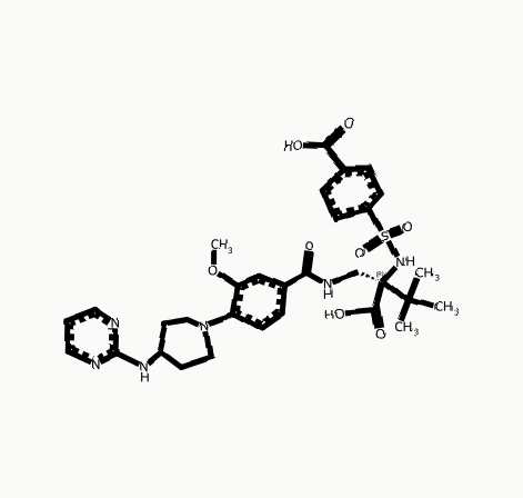 COc1cc(C(=O)NC[C@@](NS(=O)(=O)c2ccc(C(=O)O)cc2)(C(=O)O)C(C)(C)C)ccc1N1CCC(Nc2ncccn2)CC1